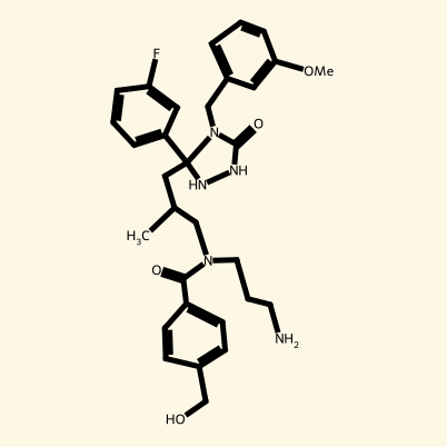 COc1cccc(CN2C(=O)NNC2(CC(C)CN(CCCN)C(=O)c2ccc(CO)cc2)c2cccc(F)c2)c1